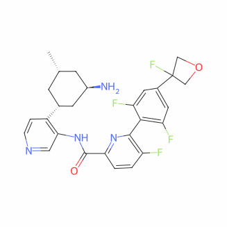 C[C@@H]1C[C@@H](N)C[C@H](c2ccncc2NC(=O)c2ccc(F)c(-c3c(F)cc(C4(F)COC4)cc3F)n2)C1